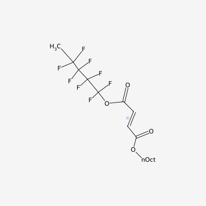 CCCCCCCCOC(=O)/C=C/C(=O)OC(F)(F)C(F)(F)C(F)(F)C(C)(F)F